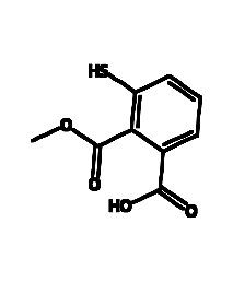 COC(=O)c1c(S)cccc1C(=O)O